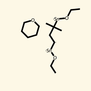 C1CCOCC1.CC[O][Sn][CH]C[C](C)(C)[Sn][O]CC